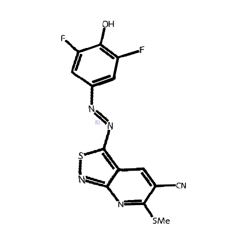 CSc1nc2nsc(/N=N/c3cc(F)c(O)c(F)c3)c2cc1C#N